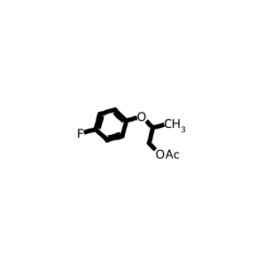 CC(=O)OCC(C)Oc1ccc(F)cc1